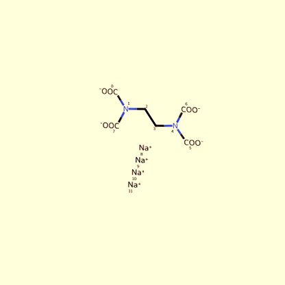 O=C([O-])N(CCN(C(=O)[O-])C(=O)[O-])C(=O)[O-].[Na+].[Na+].[Na+].[Na+]